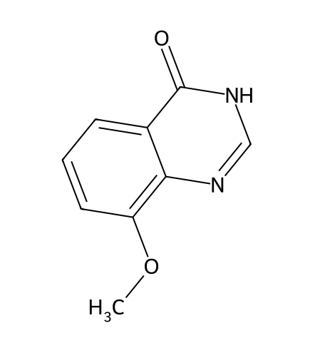 COc1cccc2c(=O)[nH]cnc12